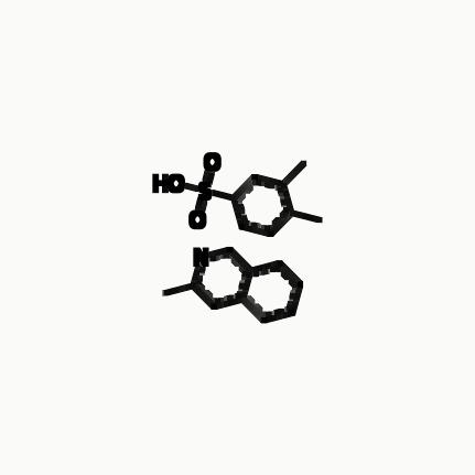 Cc1cc2ccccc2cn1.Cc1ccc(S(=O)(=O)O)cc1C